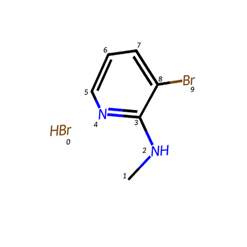 Br.CNc1ncccc1Br